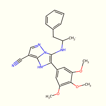 [CH2]C([CH]c1ccccc1)Nc1c(-c2cc(OC)c(OC)c(OC)c2)[nH]c2c(C#N)cnn12